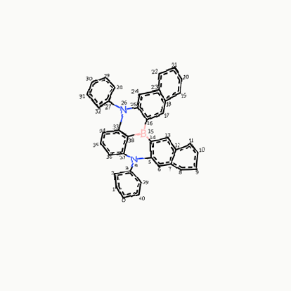 c1ccc(N2c3cc4ccccc4cc3B3c4cc5ccccc5cc4N(c4ccccc4)c4cccc2c43)cc1